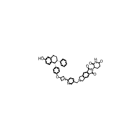 O=C1CCC(N2C(=O)c3cc4c(cc3C2=O)CN(Cc2ccc(N3CC(Oc5ccc([C@@H]6c7ccc(O)cc7CC[C@@H]6c6ccccc6)cc5)C3)nc2)C4)C(=O)N1